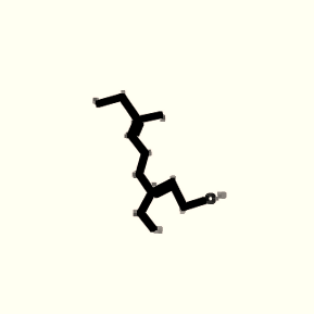 CCC(C)=CCCC(=CC[O])CC